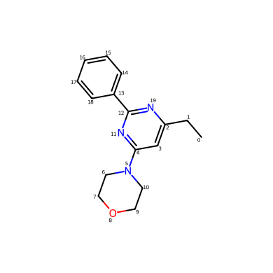 CCc1cc(N2CCOCC2)nc(-c2ccccc2)n1